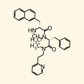 CN[C@H](Cc1ccc2ccccc2c1)C(=O)N(C)[C@H](Cc1ccccc1)C(=O)N(C)CCc1ccccn1